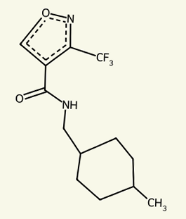 CC1CCC(CNC(=O)c2conc2C(F)(F)F)CC1